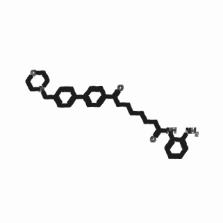 Nc1ccccc1NC(=O)CCCCCCC(=O)c1ccc(-c2ccc(CN3CCOCC3)cc2)cc1